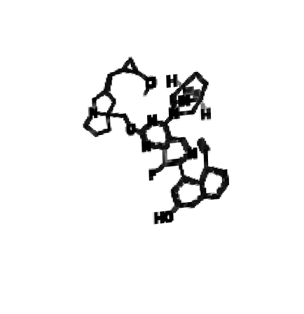 C#Cc1cccc2cc(O)cc(-c3ncc4c(N5C[C@H]6CC[C@@H](C5)N6)nc(OCC56CCCN5CC(=CC5CC5OC)C6)nc4c3F)c12